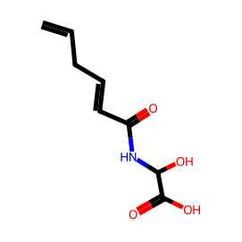 C=CCC=CC(=O)NC(O)C(=O)O